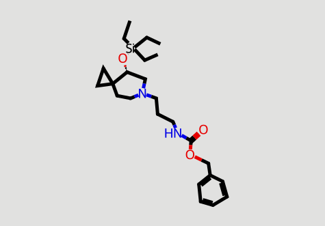 CC[Si](CC)(CC)O[C@@H]1CN(CCCNC(=O)OCc2ccccc2)CCC12CC2